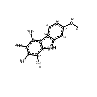 [2H]c1c([2H])c([2H])c2c([nH]c3cc(OC)ccc32)c1[2H]